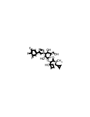 CN(CC1CC1)C(=O)[C@@H](S[C@@H]1O[C@H](CO)[C@H](O)[C@H](n2cc(-c3cc(F)c(F)c(F)c3)nn2)[C@H]1O)C1(O)CCC1